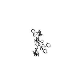 Cn1nnnc1SCC1=C(C(=O)OC(c2ccccc2)c2ccccc2)N2C(=O)[C@@H](N=CC(Br)(Br)C(Br)c3ccccc3)[C@@H]2SC1